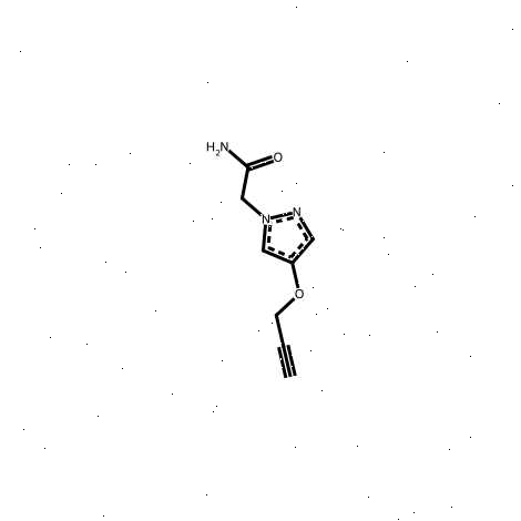 C#CCOc1cnn(CC(N)=O)c1